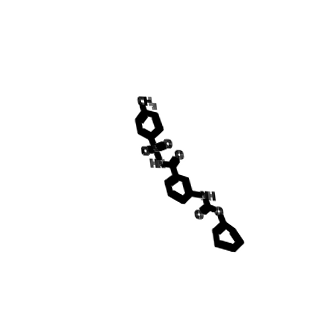 Cc1ccc(S(=O)(=O)NC(=O)c2cccc(NC(=O)Oc3ccccc3)c2)cc1